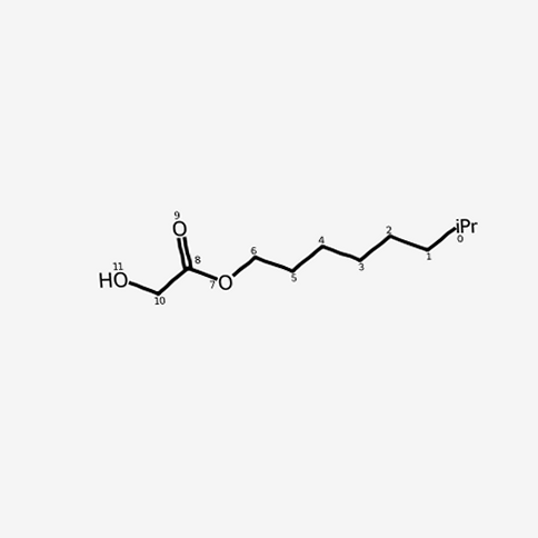 CC(C)CCCCCCOC(=O)CO